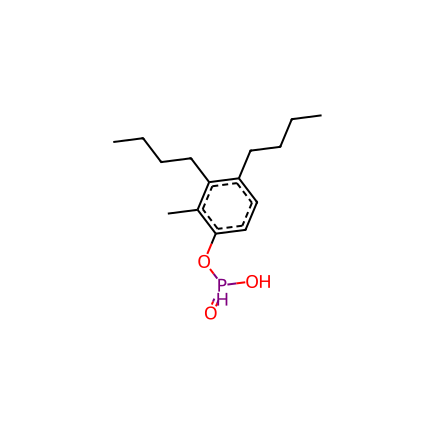 CCCCc1ccc(O[PH](=O)O)c(C)c1CCCC